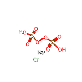 O=S(=O)(O)OOS(=O)(=O)O.[Cl-].[Na+]